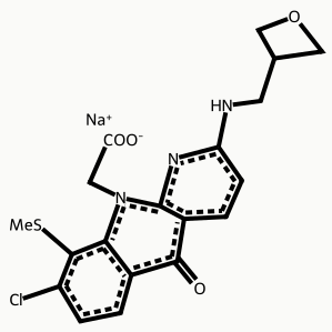 CSc1c(Cl)ccc2c(=O)c3ccc(NCC4COC4)nc3n(CC(=O)[O-])c12.[Na+]